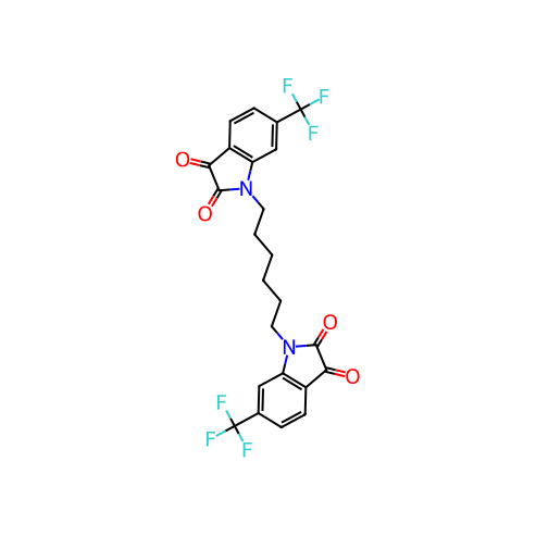 O=C1C(=O)N(CCCCCCN2C(=O)C(=O)c3ccc(C(F)(F)F)cc32)c2cc(C(F)(F)F)ccc21